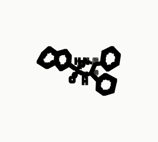 N[C@H](c1ccccc1)[C@H](NS(=O)(=O)c1ccc2ccccc2c1)c1ccccc1